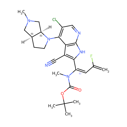 C=C(F)/C=C(\c1[nH]c2ncc(Cl)c(N3CC[C@H]4CN(C)C[C@H]43)c2c1C#N)N(C)C(=O)OC(C)(C)C